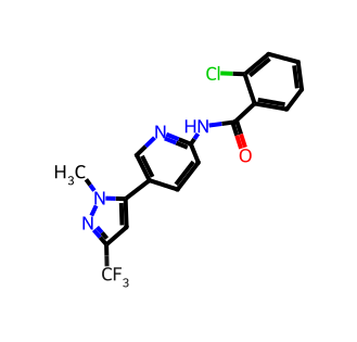 Cn1nc(C(F)(F)F)cc1-c1ccc(NC(=O)c2ccccc2Cl)nc1